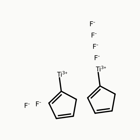 [F-].[F-].[F-].[F-].[F-].[F-].[Ti+3][C]1=CC=CC1.[Ti+3][C]1=CC=CC1